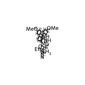 CC[C@@]1(CN=[N+]=[N-])O[C@@H](N2C=CC(NC(c3ccccc3)(c3ccc(OC)cc3)c3ccc(OC)cc3)NC2=O)[C@H](F)[C@@H]1C